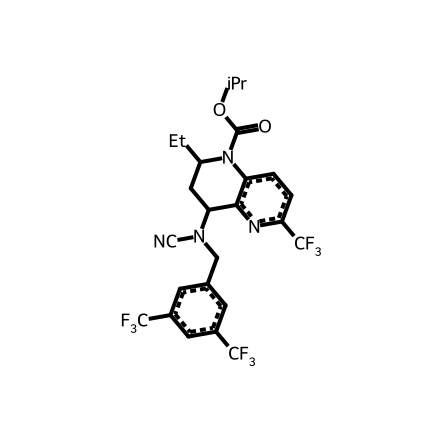 CCC1CC(N(C#N)Cc2cc(C(F)(F)F)cc(C(F)(F)F)c2)c2nc(C(F)(F)F)ccc2N1C(=O)OC(C)C